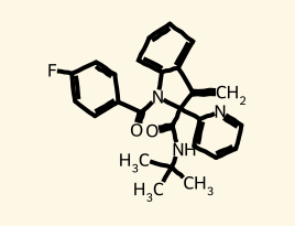 C=C1c2ccccc2N(C(=O)c2ccc(F)cc2)C1(C(=O)NC(C)(C)C)c1ccccn1